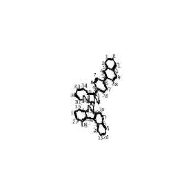 c1ccc2cc(-c3ccc(-c4nc(-n5c6ccccc6c6c7ccccc7ccc65)n5ccccc45)cc3)ccc2c1